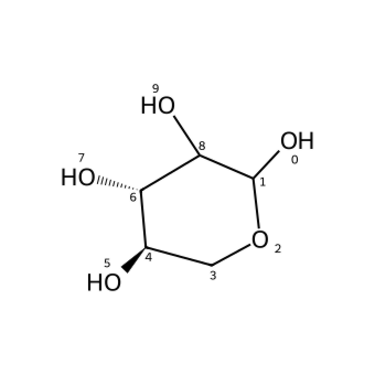 OC1OC[C@@H](O)[C@H](O)C1O